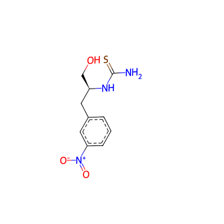 NC(=S)N[C@H](CO)Cc1cccc([N+](=O)[O-])c1